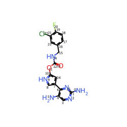 Nc1ncc(N)c(-c2c[nH]c(OC(=O)NCc3ccc(F)c(Cl)c3)c2)n1